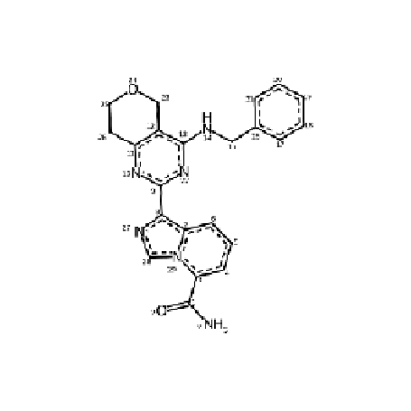 NC(=O)c1cccc2c(-c3nc4c(c(NCc5ccccc5)n3)COCC4)ncn12